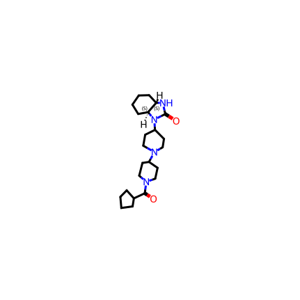 O=C(C1CCCC1)N1CCC(N2CCC(N3C(=O)N[C@H]4CCCC[C@@H]43)CC2)CC1